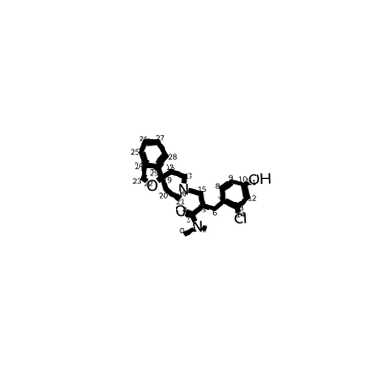 CN(C)C(=O)C(Cc1ccc(O)cc1Cl)CN1CCC2(CC1)OCc1ccccc12